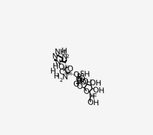 C[C@@]1(O)[C@H](N)[C@@H](COP(=O)(S)OP(=O)(O)OC2OC([C@@H](F)CO)C(O)C(O)C2O)O[C@H]1c1c[nH]c2c(N)ncnc12